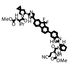 COC(=O)NC(C(=O)N1CC2(CC2)C[C@H]1c1ncc(-c2ccc3c(c2)C(F)(F)c2cc(-c4ccc5nc([C@@H]6[C@H]7CC[C@H](C7)N6C(=O)[C@H](CCC#N)NC(=O)OC)[nH]c5c4)ccc2-3)[nH]1)C(C)C